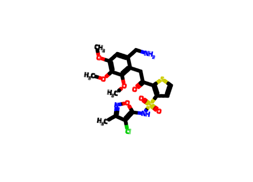 COc1cc(CN)c(CC(=O)c2sccc2S(=O)(=O)Nc2onc(C)c2Cl)c(OC)c1OC